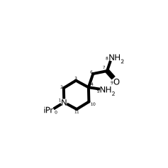 CC(C)N1CCC(N)(CC(N)=O)CC1